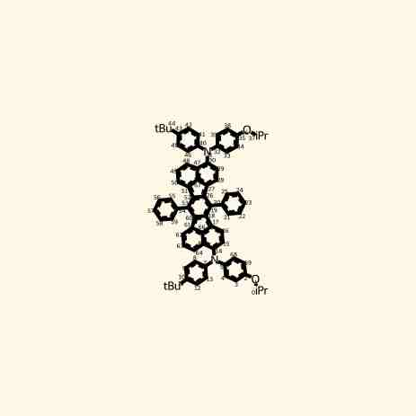 CC(C)Oc1ccc(N(c2ccc(C(C)(C)C)cc2)c2ccc3c4c(-c5ccccc5)c5c6ccc(N(c7ccc(OC(C)C)cc7)c7ccc(C(C)(C)C)cc7)c7cccc(c5c(-c5ccccc5)c4c4cccc2c43)c76)cc1